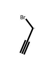 C#C[CH]Br